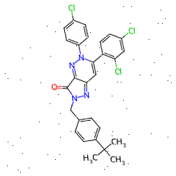 CC(C)(C)c1ccc(Cn2nc3cc(-c4ccc(Cl)cc4Cl)n(-c4ccc(Cl)cc4)nc-3c2=O)cc1